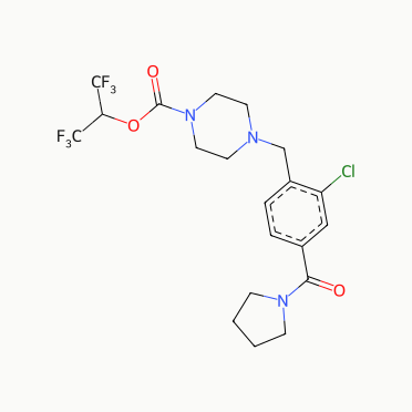 O=C(OC(C(F)(F)F)C(F)(F)F)N1CCN(Cc2ccc(C(=O)N3CCCC3)cc2Cl)CC1